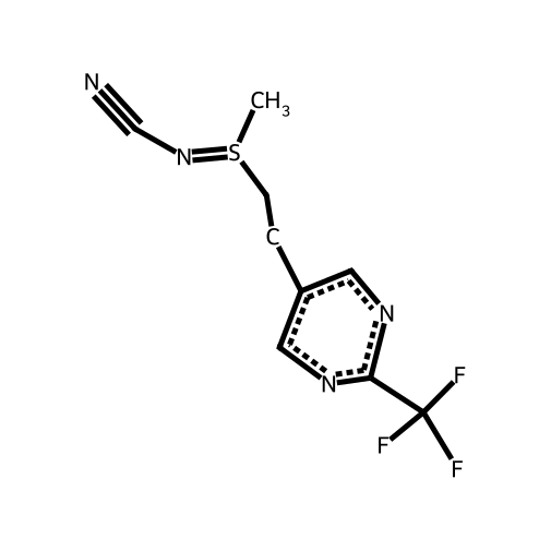 CS(CCc1cnc(C(F)(F)F)nc1)=NC#N